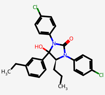 CCC[C@@H]1N(c2ccc(Cl)cc2)C(=O)N(c2ccc(Cl)cc2)C1(O)c1cccc(CC)c1